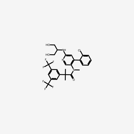 CN(C(=O)C(C)(C)c1cc(C(F)(F)F)cc(C(F)(F)F)c1)c1cnc(NC(CO)CO)cc1-c1ccccc1Cl